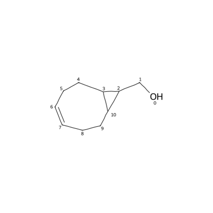 OCC1C2CCC=CCCC12